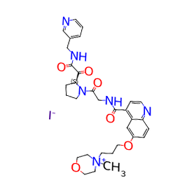 C[N+]1(CCCOc2ccc3nccc(C(=O)NCC(=O)N4CCC[C@H]4C(=O)C(=O)NCc4cccnc4)c3c2)CCOCC1.[I-]